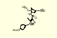 CCCCOc1ccc(C(C)(C)C)cc1NC(=O)c1nnn(-c2ccc(OC)cc2)c1C